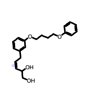 OCC(O)/C=C\Cc1cccc(OCCCCOc2ccccc2)c1